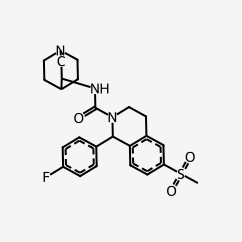 CS(=O)(=O)c1ccc2c(c1)CCN(C(=O)NC1CN3CCC1CC3)C2c1ccc(F)cc1